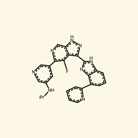 CC(C)Nc1cncc(-c2ncc3[nH]nc(-c4nc5c(-c6ccccn6)cccc5[nH]4)c3c2F)c1